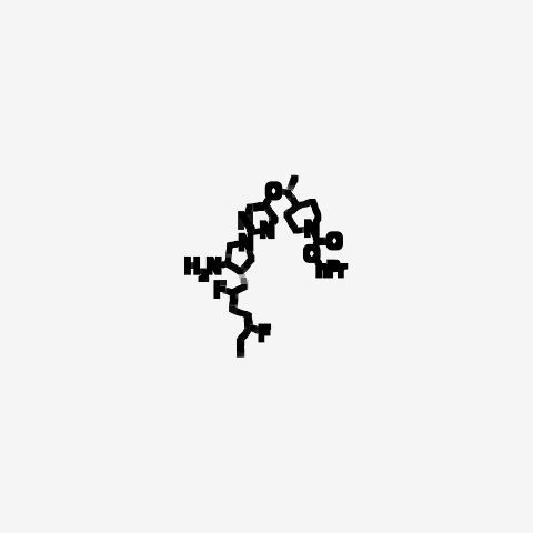 C=C/C(F)=C\C=C(\F)C[C@H]1CN(c2ncc(O[C@@H](C)C3CCN(C(=O)OCCC)CC3)cn2)C[C@@H]1N